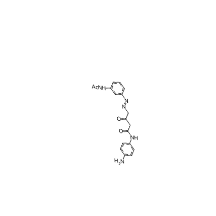 CC(=O)Nc1cccc(N=NCC(=O)CC(=O)Nc2ccc(N)cc2)c1